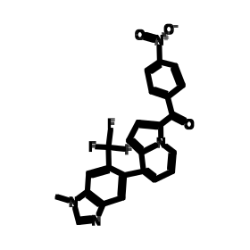 Cn1cnc2cc(-c3cccn4c(C(=O)c5ccc([N+](=O)[O-])cc5)ccc34)c(C(F)(F)F)cc21